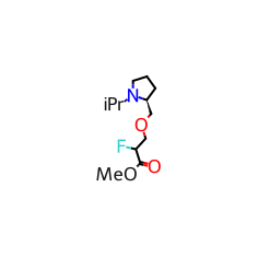 COC(=O)C(F)COC[C@@H]1CCCN1C(C)C